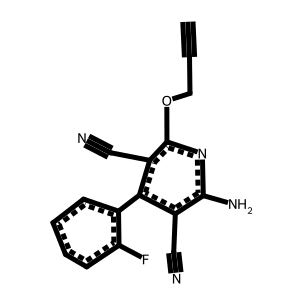 C#CCOc1nc(N)c(C#N)c(-c2ccccc2F)c1C#N